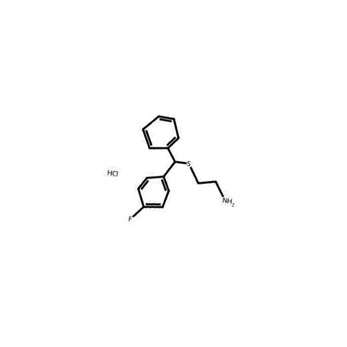 Cl.NCCSC(c1ccccc1)c1ccc(F)cc1